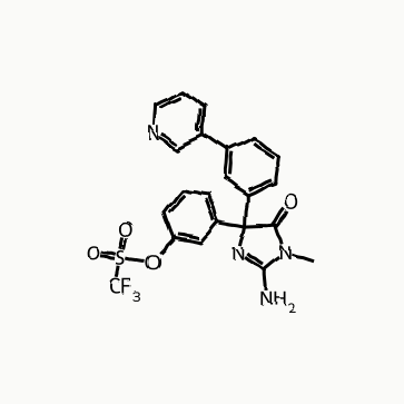 CN1C(=O)C(c2cccc(OS(=O)(=O)C(F)(F)F)c2)(c2cccc(-c3cccnc3)c2)N=C1N